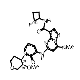 CNc1cc(Nc2cccn([C@@H]3CCOC[C@@H]3OC)c2=O)nc2c(C(=O)NC3CC[C@H]3F)cnn12